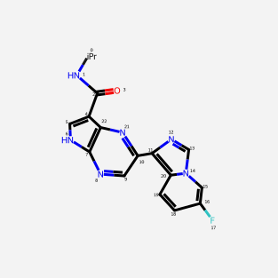 CC(C)NC(=O)c1c[nH]c2ncc(-c3ncn4cc(F)ccc34)nc12